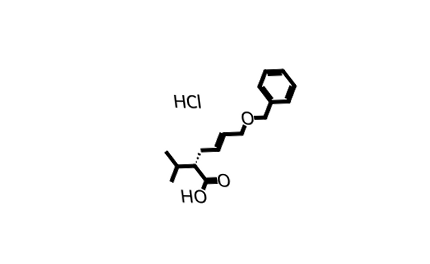 CC(C)[C@H](CC=CCOCc1ccccc1)C(=O)O.Cl